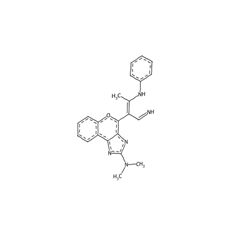 C/C(Nc1ccccc1)=C(/C=N)c1oc2ccccc2c2nc(N(C)C)nc1-2